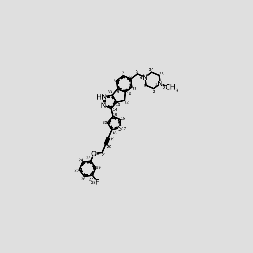 CN1CCN(Cc2ccc3c(c2)Cc2c(-c4csc(C#CCOc5cccc(F)c5)c4)n[nH]c2-3)CC1